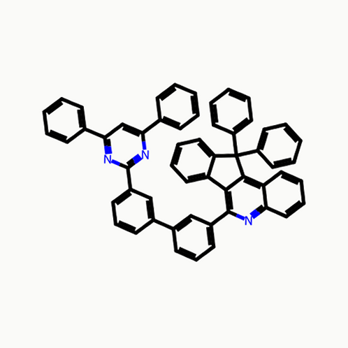 c1ccc(-c2cc(-c3ccccc3)nc(-c3cccc(-c4cccc(-c5nc6ccccc6c6c5-c5ccccc5C6(c5ccccc5)c5ccccc5)c4)c3)n2)cc1